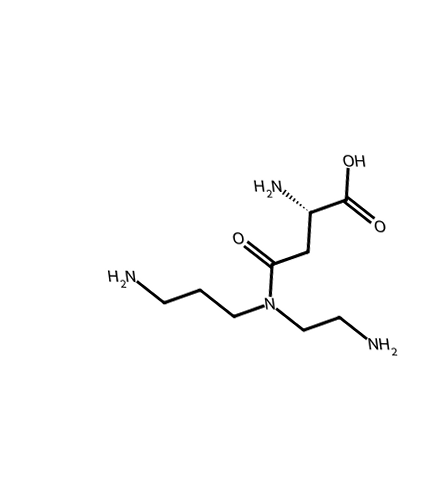 NCCCN(CCN)C(=O)C[C@H](N)C(=O)O